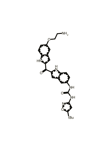 CC(C)(C)c1cc(NC(=O)Nc2ccc3[nH]c(C(=O)c4cc5cc(OCCN)ccc5[nH]4)cc3c2)no1